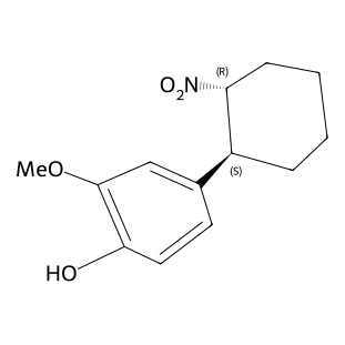 COc1cc([C@@H]2CCCC[C@H]2[N+](=O)[O-])ccc1O